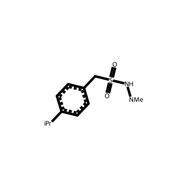 CNNS(=O)(=O)Cc1ccc(C(C)C)cc1